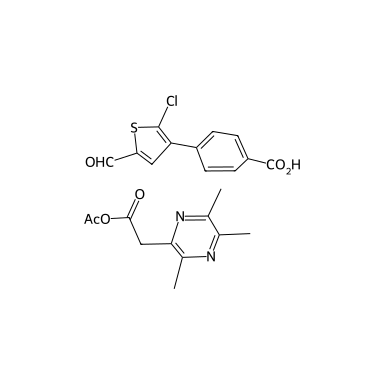 CC(=O)OC(=O)Cc1nc(C)c(C)nc1C.O=Cc1cc(-c2ccc(C(=O)O)cc2)c(Cl)s1